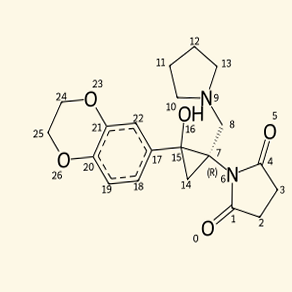 O=C1CCC(=O)N1[C@@]1(CN2CCCC2)CC1(O)c1ccc2c(c1)OCCO2